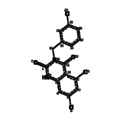 O=c1[nH]c2cc(Cl)cc(Cl)c2c(=O)n1Cc1cccc(Cl)c1